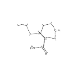 CCCN1CCOCC1C(=O)O